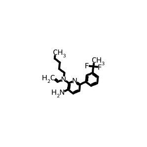 C=CN(CCCCC)c1nc(-c2cccc(C(C)(F)F)c2)ccc1N